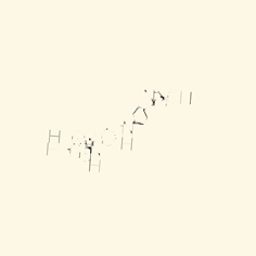 Cc1cnc(-c2ccc(NC[C@H]3CC[C@H](NS(=O)(=O)C(C)C)CC3)cc2)o1